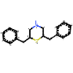 c1ccc(CC2CNCC(Cc3ccccc3)S2)cc1